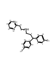 Fc1ccc(C(CCNCCc2ncccn2)c2ccc(F)cc2)cc1